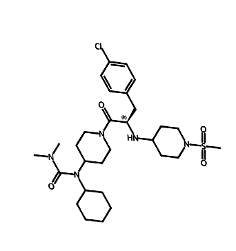 CN(C)C(=O)N(C1CCCCC1)C1CCN(C(=O)[C@@H](Cc2ccc(Cl)cc2)NC2CCN(S(C)(=O)=O)CC2)CC1